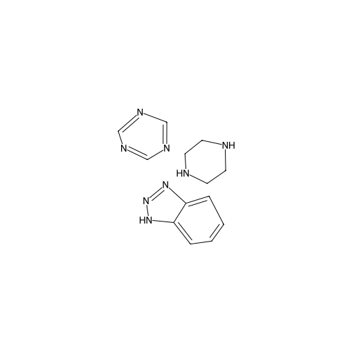 C1CNCCN1.c1ccc2[nH]nnc2c1.c1ncncn1